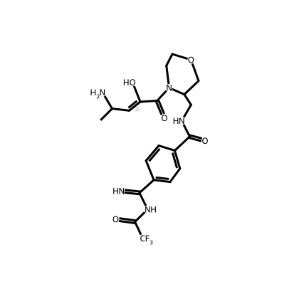 CC(N)/C=C(\O)C(=O)N1CCOCC1CNC(=O)c1ccc(C(=N)NC(=O)C(F)(F)F)cc1